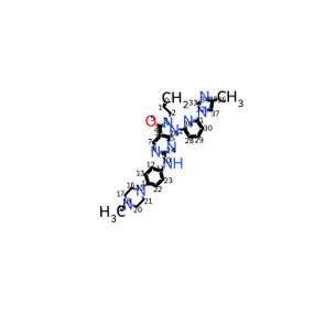 C=CCn1c(=O)c2cnc(Nc3ccc(N4CCN(C)CC4)cc3)nc2n1-c1cccc(-n2cnc(C)c2)n1